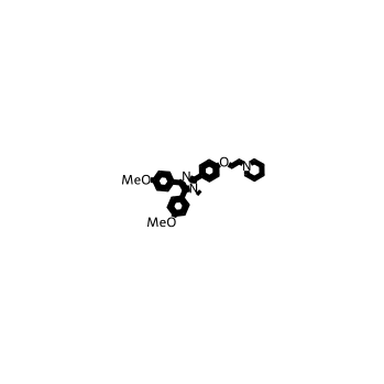 COc1ccc(-c2nc(-c3ccc(OCCN4CCCCC4)cc3)n(C)c2-c2ccc(OC)cc2)cc1